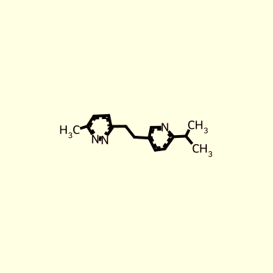 Cc1ccc(CCc2ccc(C(C)C)nc2)nn1